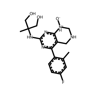 Cc1cc(F)ccc1-c1nc(NC(C)(CO)CO)nc2c1CNC[NH+]2[O-]